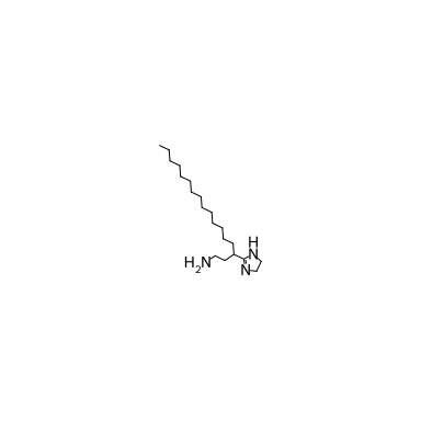 CCCCCCCCCCCCCCC(CCN)C1=NCCN1